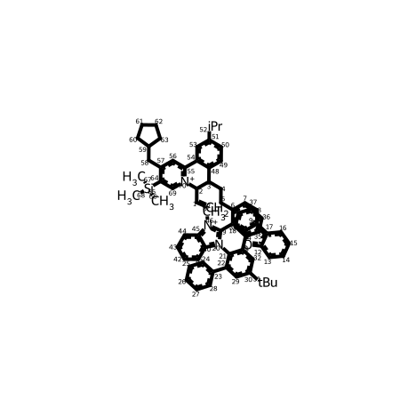 C=CC1C(CCc2ccc3c(oc4ccccc43)c2-c2n(-c3c(-c4ccccc4)cc(C(C)(C)C)cc3-c3ccccc3)c3ccccc3[n+]2C)c2ccc(C(C)C)cc2-c2cc(CC3CCCC3)c([Si](C)(C)C)c[n+]21